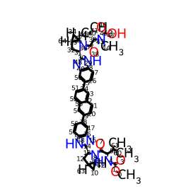 COC(=O)N[C@H](C(=O)N1[C@@H]2C[C@@H]2C[C@H]1c1nc2cc(-c3ccc4cc(-c5ccc6[nH]c([C@@H]7C[C@H]8C[C@H]8N7C(=O)[C@H](C(C)C)N(C)C(=O)O)nc6c5)ccc4c3)ccc2[nH]1)C(C)C